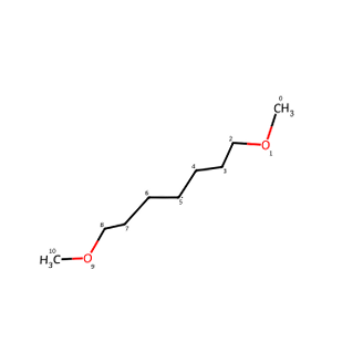 COCCC[CH]CCCOC